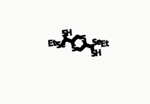 CC[Se]C(S)C1CSC(C(S)[Se]CC)CS1